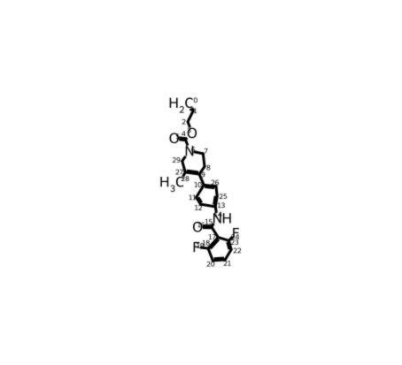 C=CCOC(=O)N1CCC(c2ccc(NC(=O)c3c(F)cccc3F)cc2)=C(C)C1